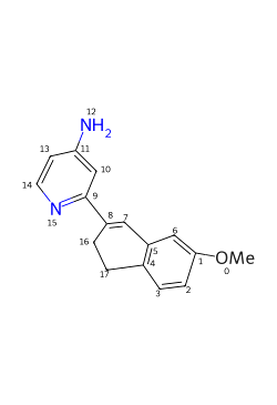 COc1ccc2c(c1)C=C(c1cc(N)ccn1)CC2